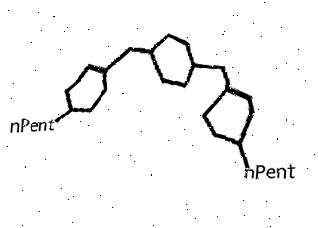 CCCCCC1CCC(CC2CCC(CC3CCC(CCCCC)CC3)CC2)CC1